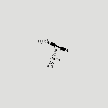 N#CC#N.[AsH3].[Cd].[Cr].[F].[Hg].[PbH2]